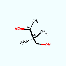 C[C@@H](O)[C@@](C)(CO)[N+](=O)[O-]